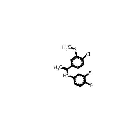 C=C(Nc1ccc(F)c(F)c1)c1ccc(Cl)c(SC)c1